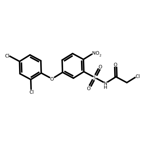 O=C(CCl)NS(=O)(=O)c1cc(Oc2ccc(Cl)cc2Cl)ccc1[N+](=O)[O-]